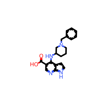 O=C(O)c1cnc2[nH]ccc2c1NC1CCCN(Cc2ccccc2)C1